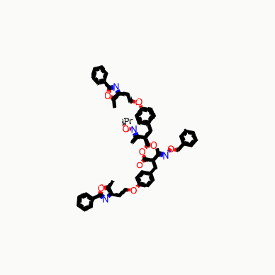 CC(=NOCc1ccccc1)C(Cc1ccc(OCCc2nc(-c3ccccc3)oc2C)cc1)C(=O)OC(=O)C(Cc1ccc(OCCc2nc(-c3ccccc3)oc2C)cc1)C(C)=NOC(C)C